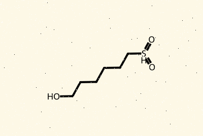 O=[SH](=O)CCCCCCO